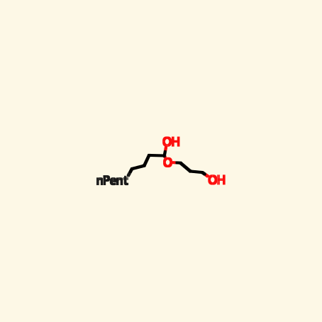 CCCCCCCCC(O)OCCCO